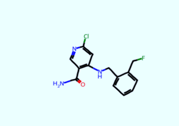 NC(=O)c1cnc(Cl)cc1NCc1ccccc1CF